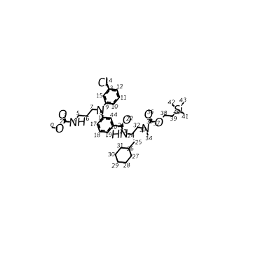 COC(=O)NCCCN(c1cccc(Cl)c1)c1cccc(C(=O)N[C@@H](CC2CCCCC2)CN(C)C(=O)OCC[Si](C)(C)C)c1